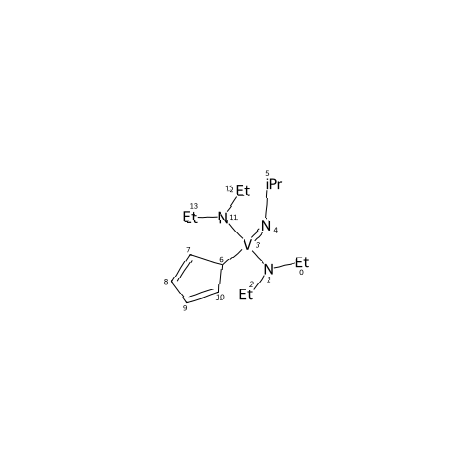 CC[N](CC)[V](=[N]C(C)C)([CH]1C=CC=C1)[N](CC)CC